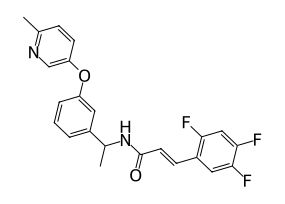 Cc1ccc(Oc2cccc(C(C)NC(=O)C=Cc3cc(F)c(F)cc3F)c2)cn1